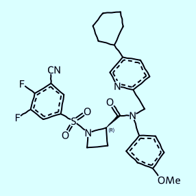 COc1ccc(N(Cc2ccc(C3CCCCC3)cn2)C(=O)[C@H]2CCN2S(=O)(=O)c2cc(F)c(F)c(C#N)c2)cc1